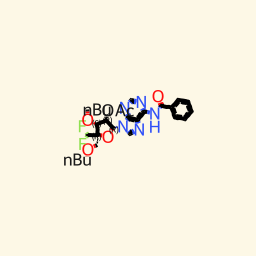 CCCCOC[C@@]1(C(F)F)O[C@@H](n2cnc3c(NC(=O)c4ccccc4)ncnc32)[C@H](OC(C)=O)[C@@H]1OCCCC